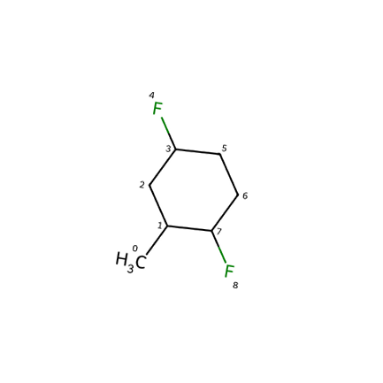 CC1CC(F)CCC1F